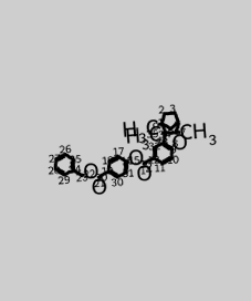 CC12CCC(C1)C1(C)Oc3ccc(C(=O)Oc4ccc(C(=O)OCc5ccccc5)cc4)cc3C21C